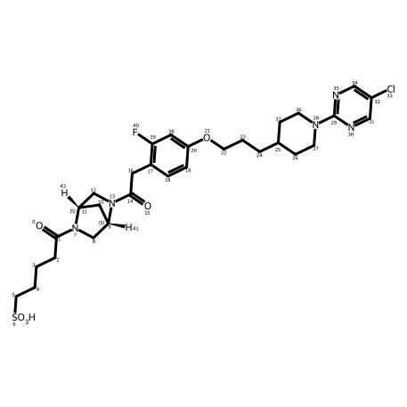 O=C(CCCCS(=O)(=O)O)N1C[C@@H]2C[C@H]1CN2C(=O)Cc1ccc(OCCCC2CCN(c3ncc(Cl)cn3)CC2)cc1F